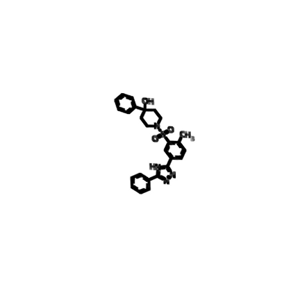 Cc1ccc(-c2nnc(-c3ccccc3)[nH]2)cc1S(=O)(=O)N1CCC(O)(c2ccccc2)CC1